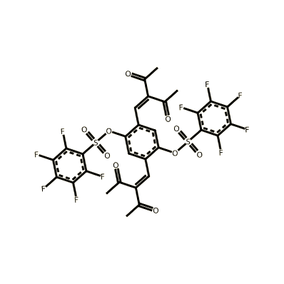 CC(=O)C(=Cc1cc(OS(=O)(=O)c2c(F)c(F)c(F)c(F)c2F)c(C=C(C(C)=O)C(C)=O)cc1OS(=O)(=O)c1c(F)c(F)c(F)c(F)c1F)C(C)=O